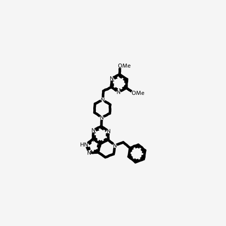 COc1cc(OC)nc(CN2CCN(c3nc4c5c(n[nH]c5n3)CCN4Cc3ccccc3)CC2)n1